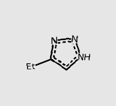 CCc1c[nH]nn1